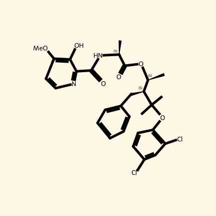 COc1ccnc(C(=O)N[C@@H](C)C(=O)O[C@@H](C)[C@H](Cc2ccccc2)C(C)(C)Oc2ccc(Cl)cc2Cl)c1O